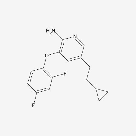 Nc1ncc(CCC2CC2)cc1Oc1ccc(F)cc1F